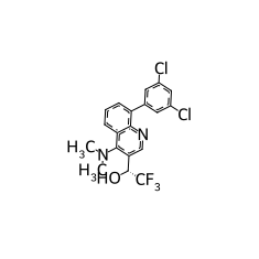 CN(C)c1c([C@@H](O)C(F)(F)F)cnc2c(-c3cc(Cl)cc(Cl)c3)cccc12